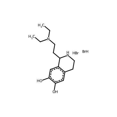 Br.Br.CCN(CC)CCC1NCCc2cc(O)c(O)cc21